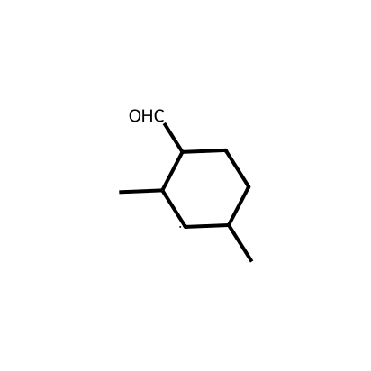 CC1[CH]C(C)C(C=O)CC1